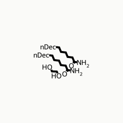 CCCCCCCCCCCCCCCC(N)=O.CCCCCCCCCCCCCCCC(N)=O.OCCO